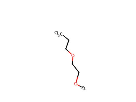 CCOC[CH]OCCC(Cl)(Cl)Cl